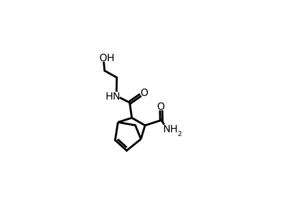 NC(=O)C1C2C=CC(C2)C1C(=O)NCCO